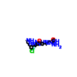 COC[C@@H](CCN[C@@H](C)c1ccc(-n2cc3cc(-c4cc(CCC[C@H](C)N)cc(Cl)c4F)[nH]c3nc2=O)cc1)NC(=N)N